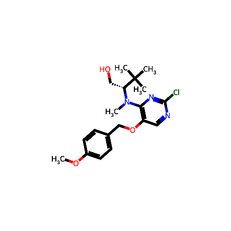 COc1ccc(COc2cnc(Cl)nc2N(C)[C@H](CO)C(C)(C)C)cc1